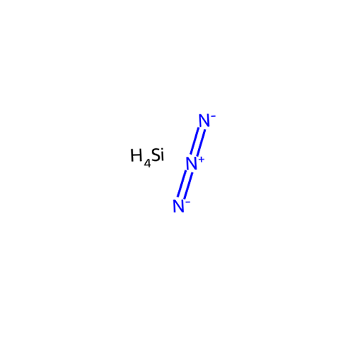 [N-]=[N+]=[N-].[SiH4]